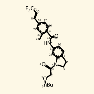 CCCCOCC(=O)N1CCc2ccc(NC(=O)c3ccc(/C=C/C(F)(F)F)cc3C)cc21